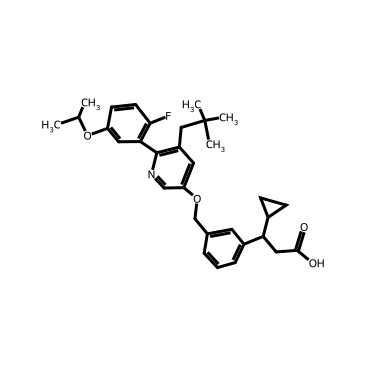 CC(C)Oc1ccc(F)c(-c2ncc(OCc3cccc(C(CC(=O)O)C4CC4)c3)cc2CC(C)(C)C)c1